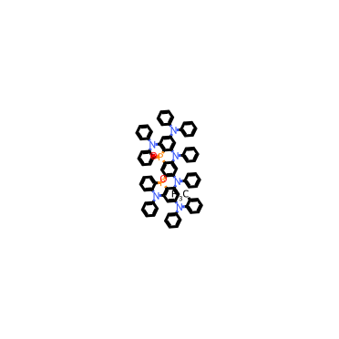 Cc1ccccc1N(c1ccccc1)c1cc2c3c(c1)N(c1ccccc1)c1cc4c(cc1P3(=O)c1ccccc1N2c1ccccc1)P1(=O)c2ccccc2N(c2ccccc2)c2cc(N(c3ccccc3)c3ccccc3)cc(c21)N4c1ccccc1